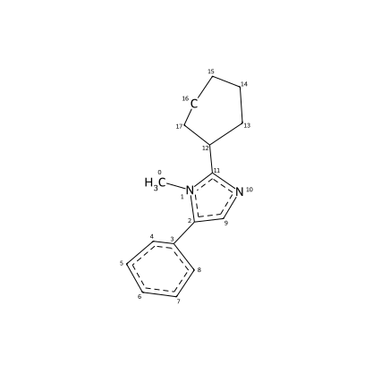 Cn1c(-c2ccccc2)cnc1C1CCCCC1